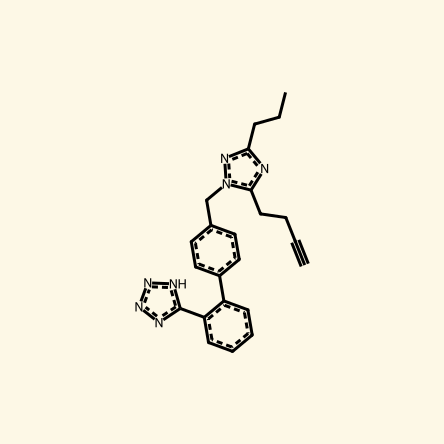 C#CCCc1nc(CCC)nn1Cc1ccc(-c2ccccc2-c2nnn[nH]2)cc1